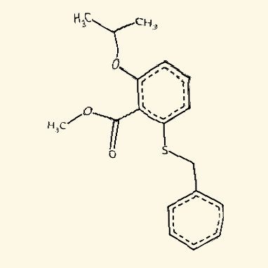 COC(=O)c1c(OC(C)C)cccc1SCc1ccccc1